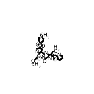 CCC1=c2nc(-c3cc(S(=O)(=O)N4CCN(C)CC4)cnc3OCCOC)n(Cl)c(=O)c2=N[N+]1(Cl)Cc1ccccn1